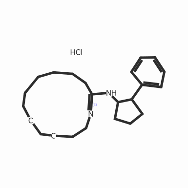 Cl.c1ccc(C2CCCC2N/C2=N/CCCCCCCCCCC2)cc1